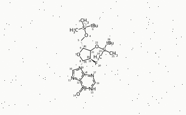 CC(C)(C)[Si](C)(C)OC[C@H]1O[C@@H](n2cnc3c(=O)[nH]cnc32)[C@H](F)C1O[Si](C)(C)C(C)(C)C